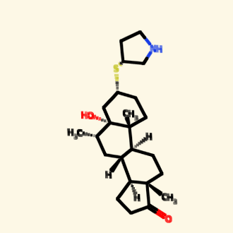 C[C@H]1C[C@H]2[C@@H]3CCC(=O)[C@@]3(C)CC[C@@H]2[C@@]2(C)CC[C@@H](S[C@@H]3CCNC3)C[C@]12O